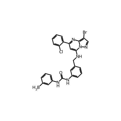 Bc1cccc(NC(=O)Nc2cccc(CNc3cc(-c4ccccc4Cl)nc4c(Br)cnn34)c2)c1